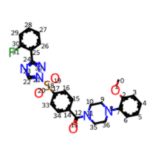 COc1ccccc1N1CCN(C(=O)c2ccc(S(=O)(=O)n3cnc(-c4ccccc4F)n3)cc2)CC1